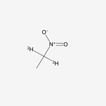 [2H]C([2H])(C)[N+](=O)[O-]